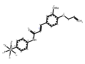 C=CCOc1ccc(/C=C/C(=O)Nc2ccc(S(F)(F)(F)(F)F)cc2)cc1OC